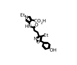 CCc1c(CCC(=O)Nc2cn(CC)cc2C(=O)O)noc1-c1ccc(O)cc1